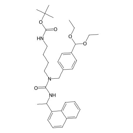 CCOC(OCC)c1ccc(CN(CCCCNC(=O)OC(C)(C)C)C(=O)NC(C)c2cccc3ccccc23)cc1